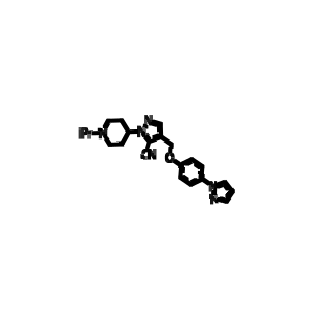 CC(C)N1CCC(n2ncc(COc3ccc(-n4cccn4)cc3)c2C#N)CC1